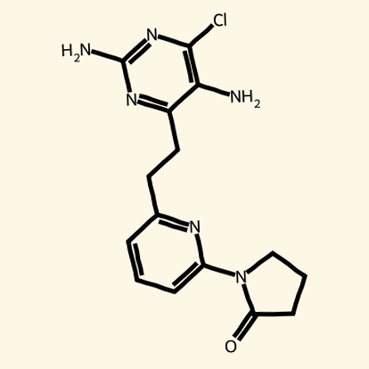 Nc1nc(Cl)c(N)c(CCc2cccc(N3CCCC3=O)n2)n1